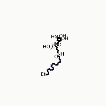 CC/C=C\C/C=C\C/C=C\C/C=C\C/C=C\C/C=C\CCC(=O)NCCCCC(NC(=O)c1cc(O)c(O)c(O)c1)C(=O)O